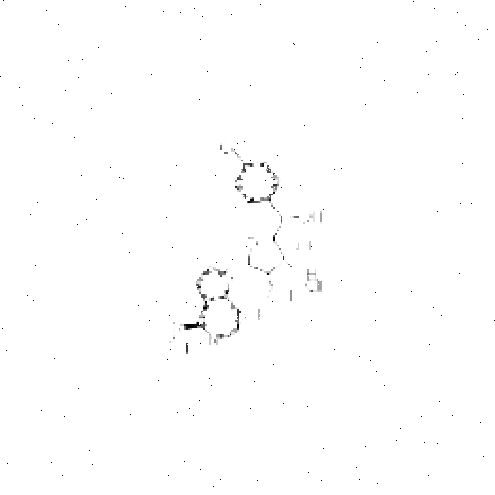 C[C@@]1(O)[C@@H]([C@H](O)c2ccc(Cl)cc2)O[C@@H](n2ccc3/c(=N/O)nc[nH]c32)[C@@H]1O.Cl